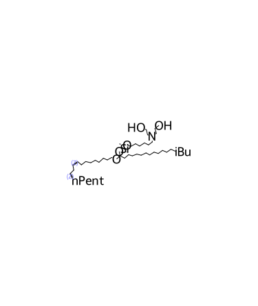 CCCCC/C=C\C/C=C\CCCCCCCCOC(CCCCCCCCCCCCC(C)CC)O[Si](C)(C)OCCCCCCN(CCO)CCO